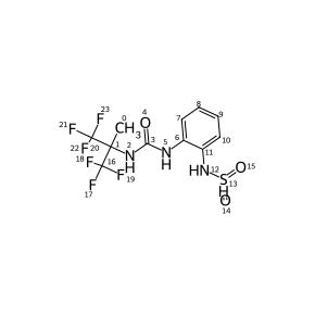 CC(NC(=O)Nc1ccccc1N[SH](=O)=O)(C(F)(F)F)C(F)(F)F